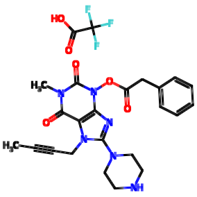 CC#CCn1c(N2CCNCC2)nc2c1c(=O)n(C)c(=O)n2OC(=O)Cc1ccccc1.O=C(O)C(F)(F)F